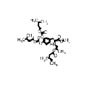 CCC(C)CC(=O)OC(C)CN[C@@H](Cc1ccc(OC(=O)OCCC(C)C)c(OC(=O)OCCC(C)C)c1)C(=O)OC